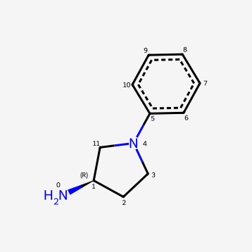 N[C@@H]1CCN(c2ccccc2)C1